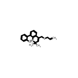 C=CCSCC1=CC(C)(C)Nc2c1cccc2-c1ccccc1C(F)(F)F